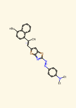 CCCCc1ccc(/C(C#N)=C/c2cc3sc(/N=N/c4ccc(N(CC)CC)cc4)nc3s2)c2ccccc12